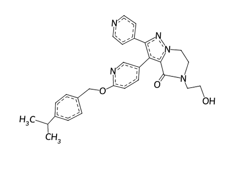 CC(C)c1ccc(COc2ccc(-c3c(-c4ccncc4)nn4c3C(=O)N(CCO)CC4)cn2)cc1